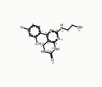 Cc1cc(F)ccc1-c1nc(NCCO)nc2c1CNC(=O)N2